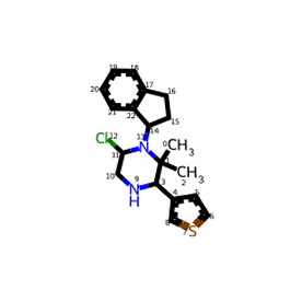 CC1(C)C(c2ccsc2)NCC(Cl)N1C1CCc2ccccc21